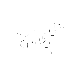 CC(=O)Nc1cccc(Cn2c([C@@H](C(C)C)N(CCCN)C(=O)c3ccc(C)cc3)nc3cc(Br)ccc32)c1